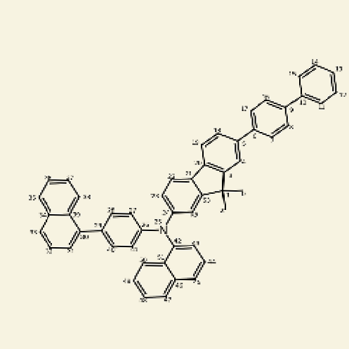 CC1(C)c2cc(-c3ccc(-c4ccccc4)cc3)ccc2-c2ccc(N(c3ccc(-c4cccc5ccccc45)cc3)c3cccc4ccccc34)cc21